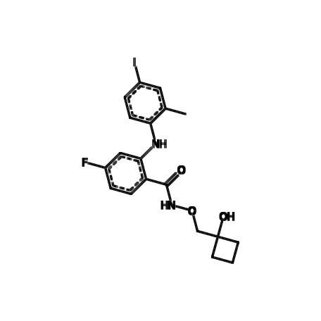 Cc1cc(I)ccc1Nc1cc(F)ccc1C(=O)NOCC1(O)CCC1